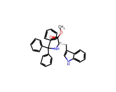 COC(=O)[C@H](Cc1c[nH]c2ccccc12)NC(c1ccccc1)(c1ccccc1)c1ccccc1